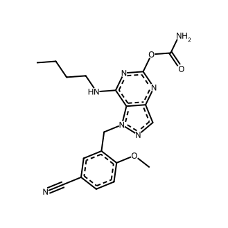 CCCCNc1nc(OC(N)=O)nc2cnn(Cc3cc(C#N)ccc3OC)c12